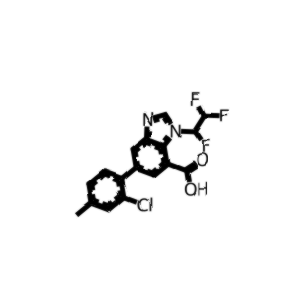 Cc1ccc(-c2cc(C(=O)O)c3c(c2)ncn3C(F)C(F)F)c(Cl)c1